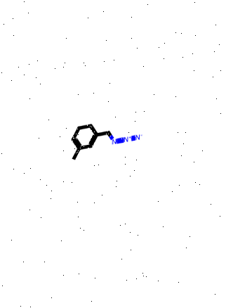 CC1=CCCC(CN=[N+]=[N-])=C1